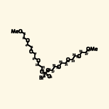 COCCOCCOCCOCCOP(=O)(Br)OCCOCCOCCOCCOC